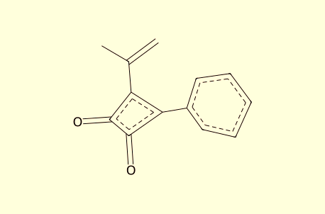 C=C(C)c1c(-c2ccccc2)c(=O)c1=O